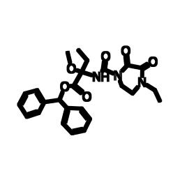 CCN1CCN(C(=O)NC(CC)(OC)C(=O)OC(c2ccccc2)c2ccccc2)C(=O)C1=O